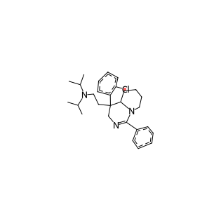 CC(C)N(CCC1(c2ccccc2Cl)CN=C(c2ccccc2)N2CCCCC21)C(C)C